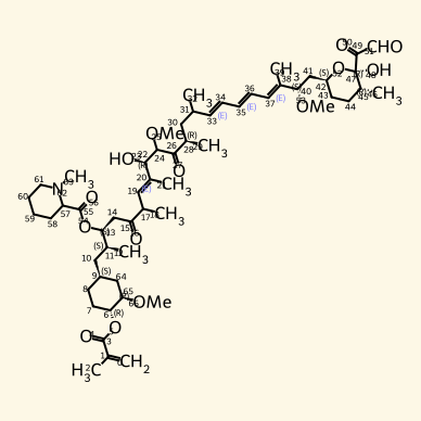 C=C(C)C(=O)O[C@@H]1CC[C@@H](C[C@H](C)[C@H](CC(=O)C(C)/C=C(\C)[C@@H](O)C(OC)C(=O)[C@H](C)CC(C)/C=C/C=C/C=C(\C)[C@H](C[C@@H]2CC[C@@H](C)[C@](O)(C(=O)C=O)O2)OC)OC(=O)C2CCCCN2C)C[C@H]1OC